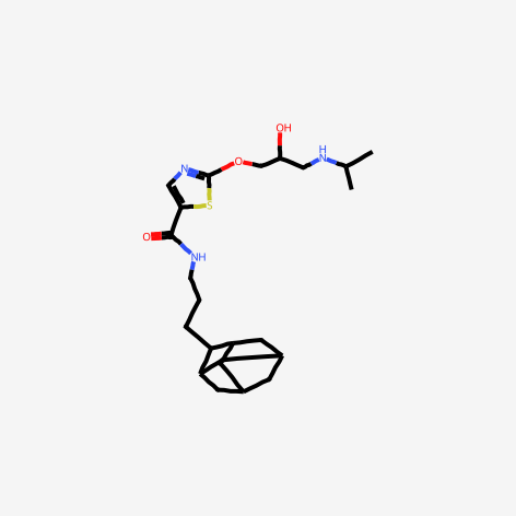 CC(C)NCC(O)COc1ncc(C(=O)NCCCC2C3CC4CC(C3)CC2C4)s1